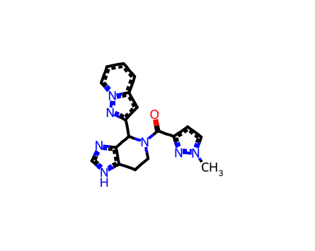 Cn1ccc(C(=O)N2CCc3[nH]cnc3C2c2cc3ccccn3n2)n1